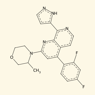 CC1COCCN1c1cc(-c2ccc(F)cc2F)c2ccnc(-c3ccn[nH]3)c2n1